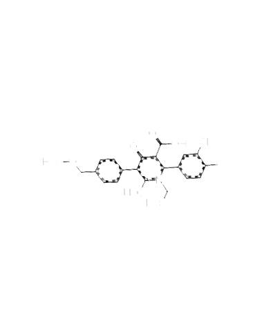 CCn1c(C)c(-c2ccc(COC)cc2)c(=O)c(C(=O)O)c1-c1ccc(Cl)c(Cl)c1